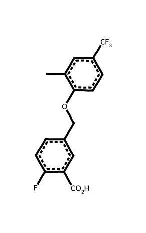 Cc1cc(C(F)(F)F)ccc1OCc1ccc(F)c(C(=O)O)c1